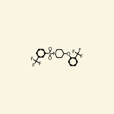 O=S(=O)(c1cccc(C(F)(F)F)c1)N1CCC(Oc2ccccc2C(F)(F)F)CC1